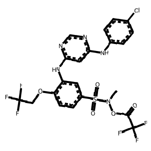 CN(OC(=O)C(F)(F)F)S(=O)(=O)c1ccc(OCC(F)(F)F)c(Nc2cc(Nc3ccc(Cl)cc3)ncn2)c1